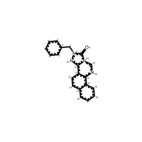 O=c1n(Cc2ccccc2)nc2c3ccc4ccccc4c3ncn12